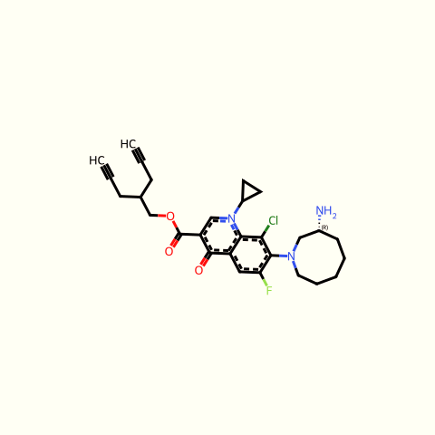 C#CCC(CC#C)COC(=O)c1cn(C2CC2)c2c(Cl)c(N3CCCCC[C@@H](N)C3)c(F)cc2c1=O